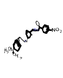 CN(C)c1ccc(/N=N/c2ccc(/C=C/C(=O)c3ccc([N+](=O)[O-])cc3)cc2)cc1